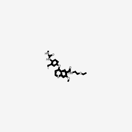 CCOCCNC(=O)c1cc2c(Oc3ccc(NC(=O)NC)c(CI)c3)ccnc2cc1OC